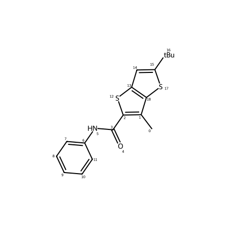 Cc1c(C(=O)Nc2ccccc2)sc2cc(C(C)(C)C)sc12